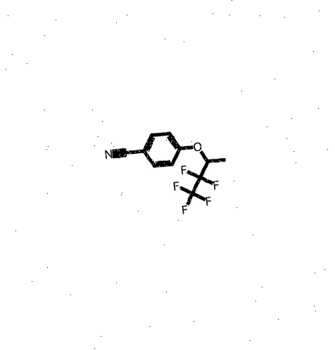 CC(Oc1ccc(C#N)cc1)C(F)(F)C(F)(F)F